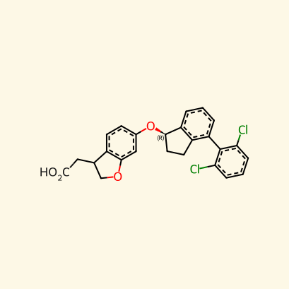 O=C(O)CC1COc2cc(O[C@@H]3CCc4c(-c5c(Cl)cccc5Cl)cccc43)ccc21